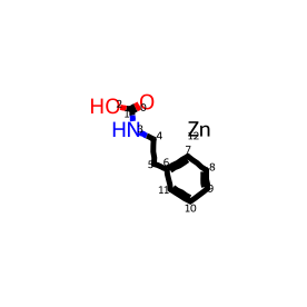 O=C(O)NCCc1ccccc1.[Zn]